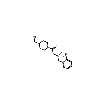 N[C@@H](CC(=O)N1CCC(CO)CC1)Cc1ccccc1F